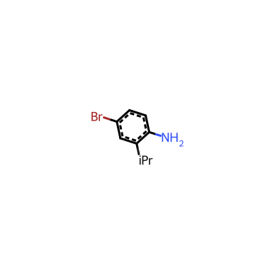 CC(C)c1cc(Br)ccc1N